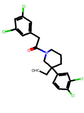 O=CCC1(c2ccc(Cl)c(Cl)c2)CCCN(C(=O)Cc2cc(Cl)cc(Cl)c2)C1